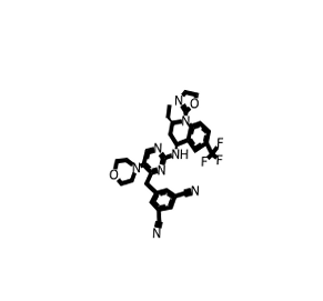 CC[C@@H]1C[C@H](Nc2ncc(N3CCOCC3)c(Cc3cc(C#N)cc(C#N)c3)n2)c2cc(C(F)(F)F)ccc2N1C1=NCCO1